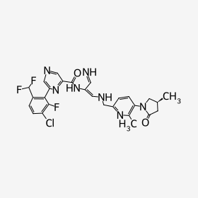 Cc1nc(CN/C=C(\C=N)NC(=O)c2cncc(-c3c(C(F)F)ccc(Cl)c3F)n2)ccc1N1C[C@@H](C)CC1=O